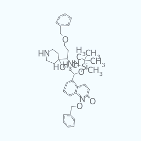 CC(C)(C)[Si](C)(C)OC(CNC(CCOCc1ccccc1)C1(O)CCNCC1)c1cccc2c1ccc(=O)n2OCc1ccccc1